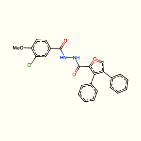 COc1ccc(C(=O)NNC(=O)c2occ(-c3ccccc3)c2-c2ccccc2)cc1Cl